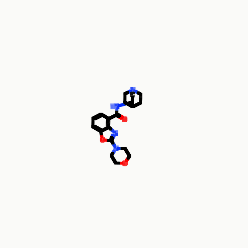 O=C(NC1CN2CCC1CC2)c1cccc2oc(N3CCOCC3)nc12